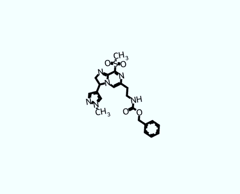 Cn1cc(C2CN=C3C(S(C)(=O)=O)=NC(CCNC(=O)OCc4ccccc4)=CN32)cn1